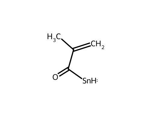 C=C(C)[C](=O)[SnH]